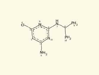 Nc1cc(Cl)nc(NC(P)P)n1